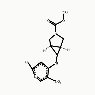 CC(C)(C)OC(=O)N1C[C@@H]2C(Nc3cc(Cl)ncc3[N+](=O)[O-])[C@@H]2C1